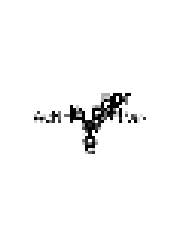 COCN(c1cccc(-c2nc(C3CCOCC3)sc2-c2ccnc(NC(C)=O)c2)c1F)S(=O)(=O)c1cc(F)ccc1F